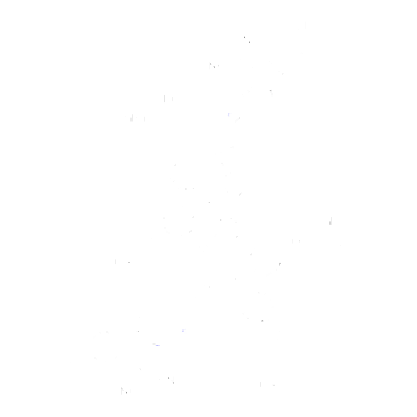 CCCCC(CC)COc1ccc(C2(c3ccc(OCC(CC)CCCC)cc3)c3cc(/C=C/C=C4\C(=O)c5cc(Cl)c(Cl)cc5C4=C(C#N)C#N)sc3-c3sc4c5c(sc4c32)-c2sc3cc(/C=C/C=C4\C(=O)c6cc(Cl)c(Cl)cc6C4=C(C#N)C#N)sc3c2C5(c2ccc(OCC(CC)CCCC)cc2)c2ccc(OCC(CC)CCCC)cc2)cc1